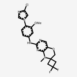 COc1cc(Nc2ncc3c(n2)N(C)C2(CO3)CC(F)(F)C2)ccc1-n1cnc(Cl)c1